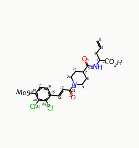 C=CCC(NC(=O)C1CCN(C(=O)C=Cc2ccc(SC)c(Cl)c2Cl)CC1)C(=O)O